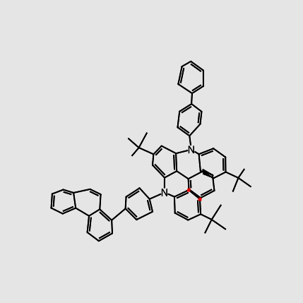 CC(C)(C)c1ccc(N(c2ccc(-c3ccccc3)cc2)c2cc(C(C)(C)C)cc(N(c3ccc(-c4cccc5c4ccc4ccccc45)cc3)c3ccc(C(C)(C)C)cc3)c2-c2ccccc2)cc1